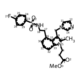 COC(=O)CCn1c(C)c(Cn2ccnc2)c2c(CCNS(=O)(=O)c3ccc(F)cc3)cccc21